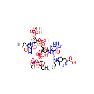 COP(=O)(O)OC[C@H]1O[C@@H](n2cc(C)c(=O)[nH]c2=O)C[C@H]1OP(=O)(O)OC[C@H]1O[C@@H](n2c[n+](CCN(CCCl)c3ccc(C[C@H](N)C(=O)O)cc3)c3c(=O)[nH]c(N)nc32)C[C@H]1OP(=O)(O)OC[C@H]1O[C@@H](C)C[C@H]1OP(=O)(O)OC